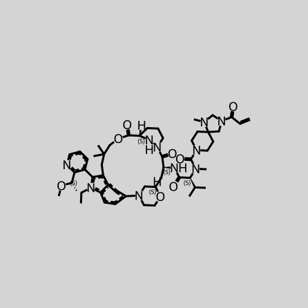 C=CC(=O)N1CN(C)C2(CCN(C(=O)N(C)[C@H](C(=O)N[C@H]3C[C@H]4CN(CCO4)c4ccc5c(c4)c(c(-c4cccnc4[C@H](C)OC)n5CC)CC(C)(C)COC(=O)[C@@H]4CCCN(N4)C3=O)C(C)C)CC2)C1